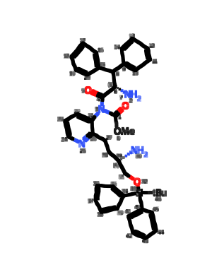 COC(=O)N(C(=O)[C@@H](N)C(c1ccccc1)c1ccccc1)c1cccnc1CC[C@H](N)CO[Si](c1ccccc1)(c1ccccc1)C(C)(C)C